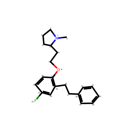 CN1CCCC1CCOc1ccc(F)cc1CCc1ccccc1